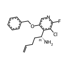 C=CCC[C@@H](N)c1c(OCc2ccccc2)cnc(F)c1Cl